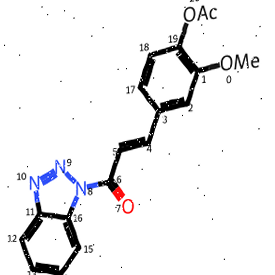 COc1cc(C=CC(=O)n2nnc3ccccc32)ccc1OC(C)=O